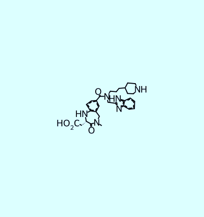 CN1Cc2cc(C(=O)N(CCCC3CCNCC3)Cc3nc4ccccc4[nH]3)ccc2N[C@@H](CC(=O)O)C1=O